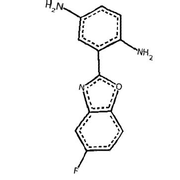 Nc1ccc(N)c(-c2nc3cc(F)ccc3o2)c1